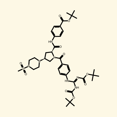 CC(C)(C)OC(=O)N=C(NC(=O)OC(C)(C)C)Nc1ccc(C(=O)N2C[C@@H](N3CCN(S(C)(=O)=O)CC3)C[C@H]2C(=O)Nc2ccc(C(=O)OC(C)(C)C)cc2)cc1